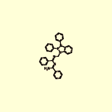 N/C(=N\C(=N/CN1c2ccccc2N(c2ccccc2)P1c1ccccc1)c1ccccc1)c1ccccc1